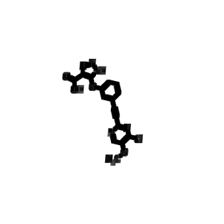 COc1cnc(C#Cc2cccc(Oc3[nH]nnc3C(=O)O)c2)nc1Cl